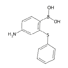 Nc1ccc(B(O)O)c(Sc2ccccc2)c1